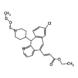 CCOC(=O)/C=C/C1=Cc2cc(Cl)ccc2C(C2CCN(SOOC)CC2)c2ncccc21